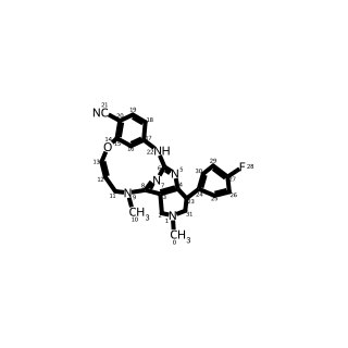 CN1Cc2c(nc3nc2N(C)C/C=C\Oc2cc(ccc2C#N)N3)C(c2ccc(F)cc2)C1